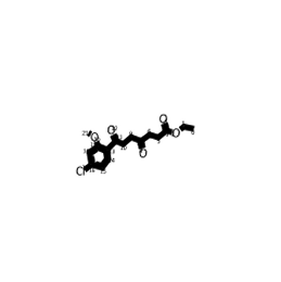 CCOC(=O)CCC(=O)CCC(=O)c1ccc(Cl)cc1OC